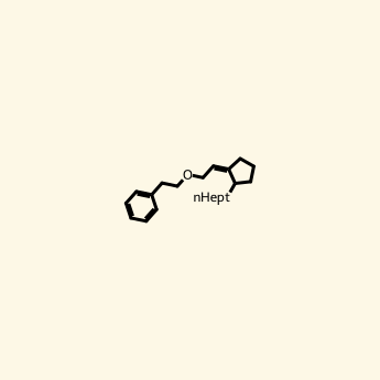 CCCCCCCC1CCCC1=CCOCCc1ccccc1